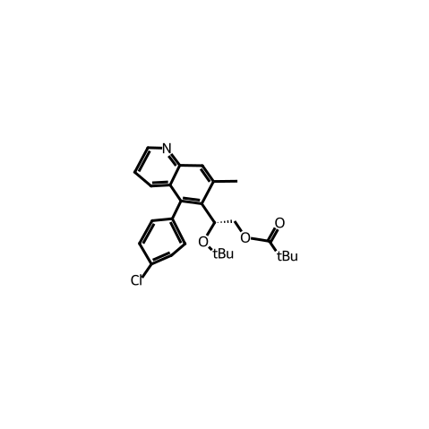 Cc1cc2ncccc2c(-c2ccc(Cl)cc2)c1[C@H](COC(=O)C(C)(C)C)OC(C)(C)C